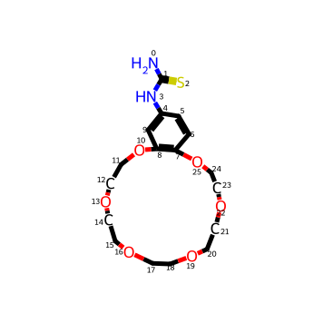 NC(=S)Nc1ccc2c(c1)OCCOCCOCCOCCOCCO2